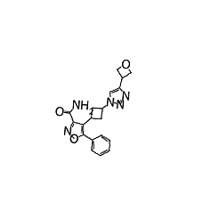 NC(=O)c1noc(-c2ccccc2)c1C1CC(n2cc(C3COC3)nn2)C1